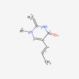 C=C1NC(=O)C(/C=C/C)=CN1C(C)C